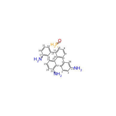 Nc1cccc(-c2ccc([PH2]=O)c(-c3cccc(N)c3)c2-c2cccc(N)c2)c1